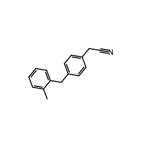 Cc1ccccc1Cc1ccc(CC#N)cc1